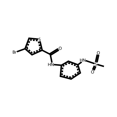 CS(=O)(=O)Nc1cccc(NC(=O)c2cc(Br)cs2)c1